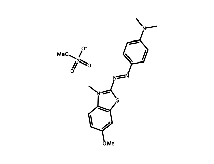 COS(=O)(=O)[O-].COc1ccc2c(c1)sc(N=Nc1ccc(N(C)C)cc1)[n+]2C